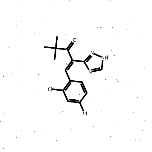 CC(C)(C)C(=O)/C(=C/c1ccc(Cl)cc1Cl)c1nc[nH]n1